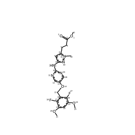 COC(=O)CCc1cc(Nc2ncc(OCc3c(F)c(OC)cc(OC)c3F)cn2)nn1C